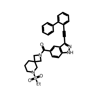 CCS(=O)(=O)N1CCCC2(CN(C(=O)c3ccc4[nH]nc(C#Cc5ccccc5-c5ccccc5)c4c3)C2)C1